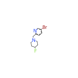 FC1CCN(Cc2ccc(Br)cn2)CC1